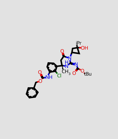 CC(C)C1(O)CC(N2C(=O)C[C@@](C)(c3cccc(NC(=O)OCc4ccccc4)c3Cl)N/C2=N\C(=O)OC(C)(C)C)C1